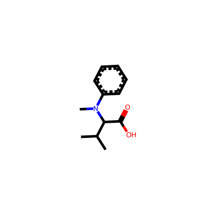 CC(C)C(C(=O)O)N(C)c1ccccc1